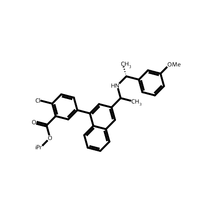 COc1cccc([C@@H](C)NC(C)c2cc(-c3ccc(Cl)c(C(=O)OC(C)C)c3)c3ccccc3c2)c1